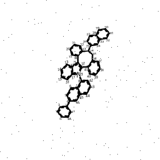 c1ccc(-c2ccc3c(-n4c5c(c6ccccc64)-c4ccccc4C(c4ccc6ccccc6c4)Cc4ccccc4-5)cccc3c2)cc1